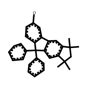 CC1(C)CC(C)(C)c2cc3c(cc21)-c1cc(Cl)ccc1C3(c1ccccc1)c1ccccc1